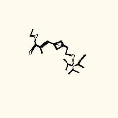 CCOC(=O)/C(C)=C/C12CC(CCO[Si](C(C)C)(C(C)C)C(C)C)(C1)C2